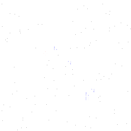 O=C(c1ccccc1)N1CCC(CN2CCc3cc(-c4cn[nH]c4)ccc32)C1